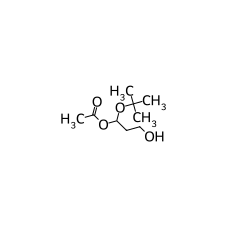 CC(=O)OC(CCO)OC(C)(C)C